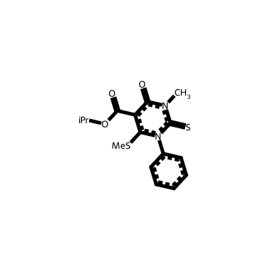 CSc1c(C(=O)OC(C)C)c(=O)n(C)c(=S)n1-c1ccccc1